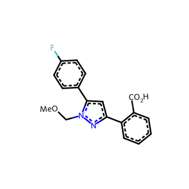 COCn1nc(-c2ccccc2C(=O)O)cc1-c1ccc(F)cc1